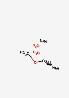 O.O.O=C(O)OC(=O)O.[NaH].[NaH].[NaH]